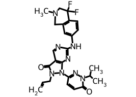 C=CCn1c(=O)c2cnc(Nc3ccc4c(c3)CN(C)CC4(F)F)nc2n1-c1ccc(=O)n(C(C)C)n1